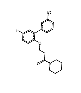 CCc1cccc(-c2cc(F)ccc2OCCC(=O)N2CCCCC2)c1